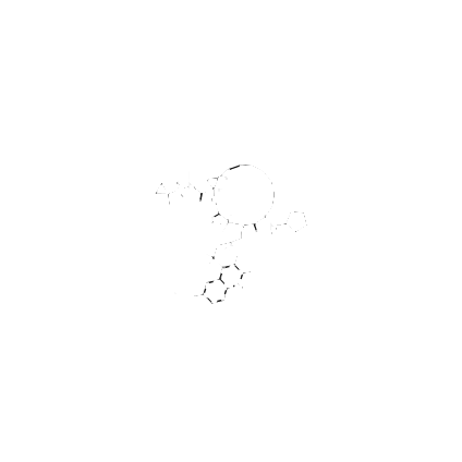 Cc1nc2ccc(OC(F)(F)F)cc2c2c1O[C@@]1(C[C@H]3C(=O)N[C@]4(C(=O)NS(=O)(=O)C5(C)CC5)C[C@H]4/C=C\CCCCC[C@H](N(C(=O)O)C4CCCC4)C(=O)N3C1)CC2(F)F